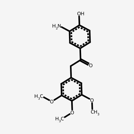 COc1cc(CC(=O)c2ccc(O)c(N)c2)cc(OC)c1OC